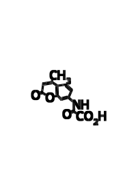 Cc1cc(=O)oc2cc(NC(=O)C(=O)O)ccc12